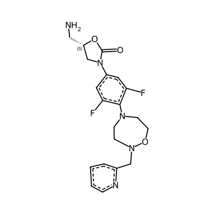 NC[C@H]1CN(c2cc(F)c(N3CCON(Cc4ccccn4)CC3)c(F)c2)C(=O)O1